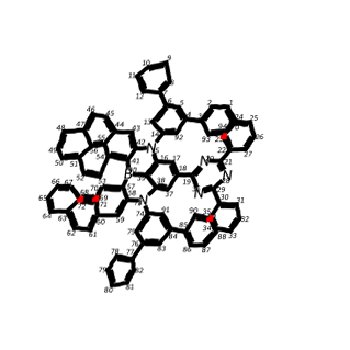 c1ccc(-c2cc(-c3ccccc3)cc(N3c4cc(-c5nc(-c6ccccc6)nc(-c6ccccc6)n5)cc5c4B(c4c3cc3ccc6cccc7ccc4c3c67)c3c(cc4ccc6cccc7ccc3c4c67)N5c3cc(-c4ccccc4)cc(-c4ccccc4)c3)c2)cc1